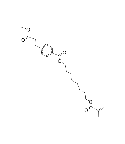 C=C(C)C(=O)OCCCCCCCCOC(=O)c1ccc(/C=C/C(=O)OC)cc1